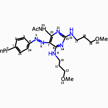 CCCc1ccc(N=Nc2c(NCCCOC)nc(NCCCOC)nc2NC(C)=O)cc1